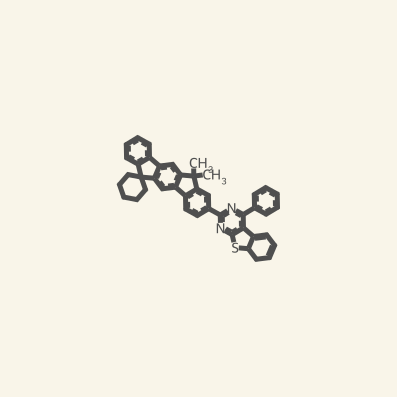 CC1(C)c2cc(-c3nc4c(c(-c5ccccc5)n3)C3=CC=CCC3S4)ccc2-c2cc3c(cc21)-c1ccccc1C31CCCCC1